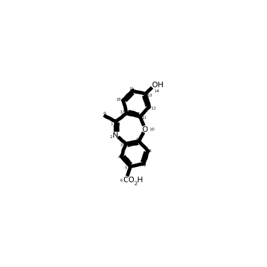 CC1=Nc2cc(C(=O)O)ccc2Oc2cc(O)ccc21